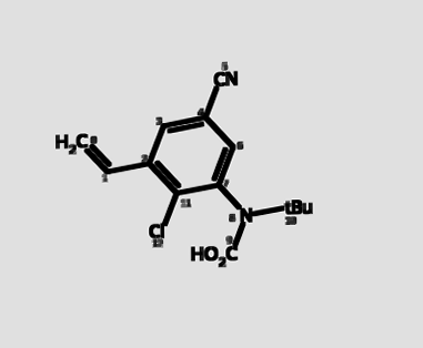 C=Cc1cc(C#N)cc(N(C(=O)O)C(C)(C)C)c1Cl